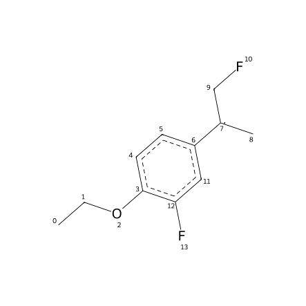 CCOc1ccc([C](C)CF)cc1F